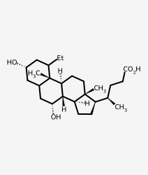 CCC1C[C@@H](O)CC2C[C@@H](O)[C@@H]3[C@H](CC[C@]4(C)[C@@H]([C@H](C)CCC(=O)O)CC[C@@H]34)[C@@]12C